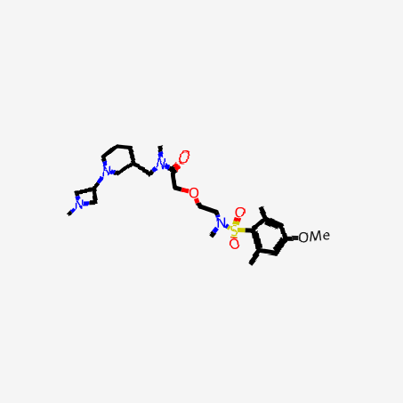 COc1cc(C)c(S(=O)(=O)N(C)CCOCC(=O)N(C)CC2CCCN(C3CN(C)C3)C2)c(C)c1